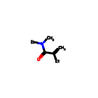 C=C(CC)C(=O)N(C)CC